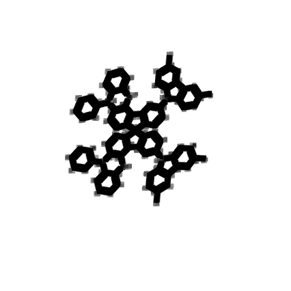 Cc1ccc2c(c1)c1cc(C)ccc1n2-c1ccc2c(c1)-c1c(ccc3c1Sc1ccccc1B3c1ccccc1)C21c2ccc(-n3c4ccc(C)cc4c4cc(C)ccc43)cc2-c2c1ccc1c2Sc2ccccc2B1c1ccccc1